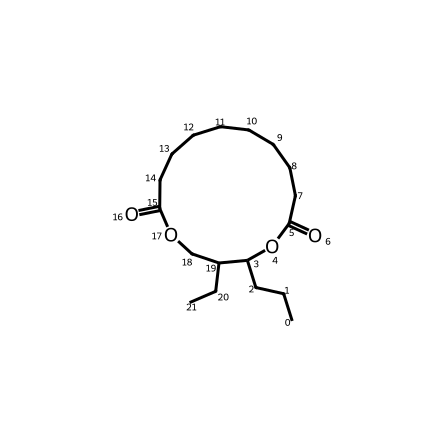 CCCC1OC(=O)CCCCCCCCC(=O)OCC1CC